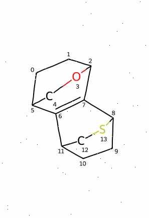 C1CC2OCC1C1=C2C2CCC1CS2